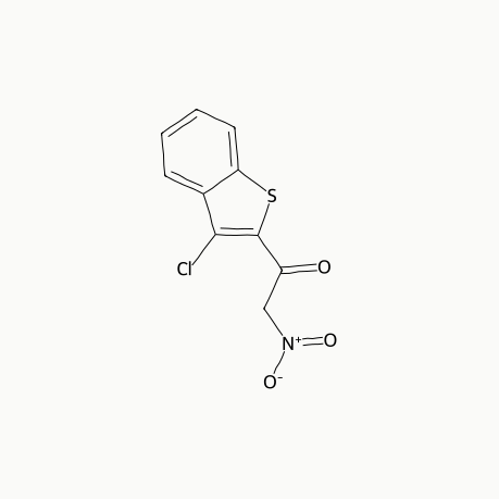 O=C(C[N+](=O)[O-])c1sc2ccccc2c1Cl